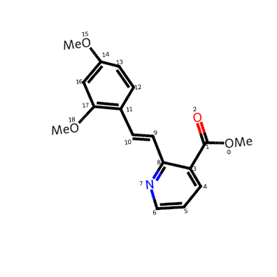 COC(=O)c1cccnc1C=Cc1ccc(OC)cc1OC